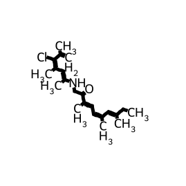 C=C(C)/C(Cl)=C(C)\C=C(/C)NCC(=O)/C(C)=C/C=C(C)\C=C(/C)CC